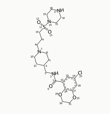 O=C(NCC1CCN(CCCS(=O)(=O)N2CCNCC2)CC1)c1cc(Cl)cc2c1OCCO2